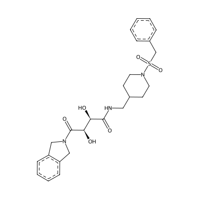 O=C(NCC1CCN(S(=O)(=O)Cc2ccccc2)CC1)[C@H](O)[C@@H](O)C(=O)N1Cc2ccccc2C1